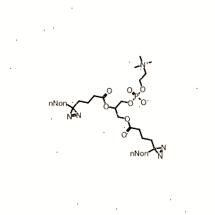 CCCCCCCCCC1(CCCC(=O)OCC(COP(=O)([O-])OCC[N+](C)(C)C)OC(=O)CCCC2(CCCCCCCCC)N=N2)N=N1